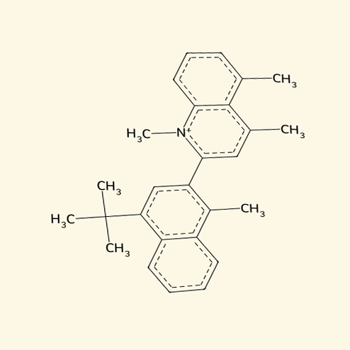 Cc1c(-c2cc(C)c3c(C)cccc3[n+]2C)cc(C(C)(C)C)c2ccccc12